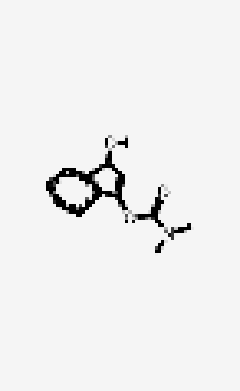 CN(C)C(=O)OC1=CC(O)c2ccccc21